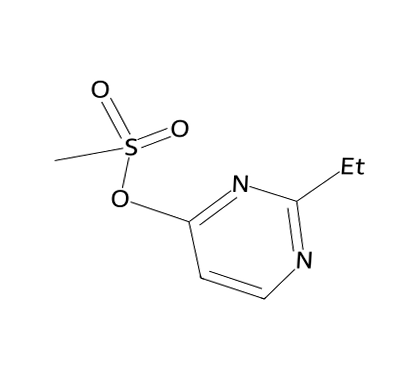 CCc1nccc(OS(C)(=O)=O)n1